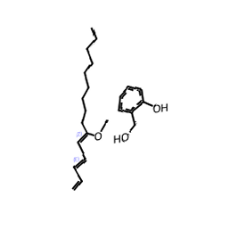 C=C/C=C/C=C(/CCCCCCCCC)OC.OCc1ccccc1O